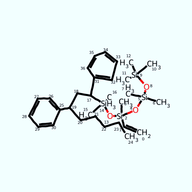 C=C[Si](C)(O[Si](C)(C)O[Si](C)(C)C)O[Si](C)(C)C(CC(CCCCC)c1ccccc1)c1ccccc1